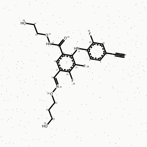 C#Cc1ccc(Nc2c(C(=O)NOCCO)cc(/C=N/OCCCO)c(F)c2F)c(F)c1